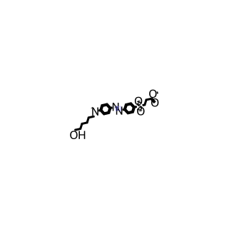 COC(=O)CCS(=O)(=O)c1ccc(/N=N/c2ccc(N(C)CCCCCCO)cc2)cc1